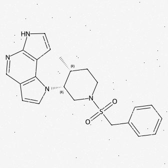 C[C@@H]1CCN(S(=O)(=O)Cc2ccccc2)C[C@@H]1n1ccc2cnc3[nH]ccc3c21